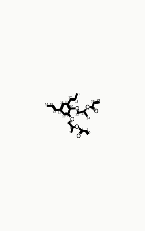 C=CC(=O)OC(C)COc1cc(C=CC)cc(C=CC)c1OCC(C)OC(=O)C=C